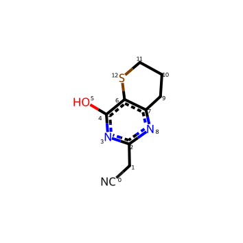 N#CCc1nc(O)c2c(n1)CCCS2